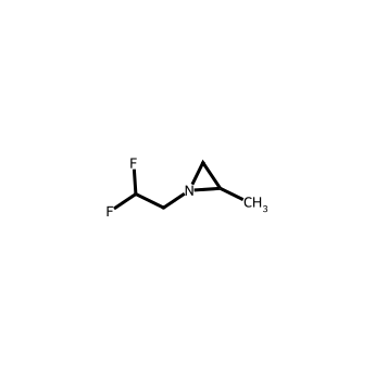 CC1CN1CC(F)F